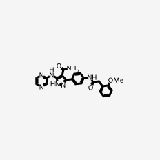 COc1ccccc1CC(=O)Nc1ccc(-c2n[nH]c(Nc3cnccn3)c2C(N)=O)cc1